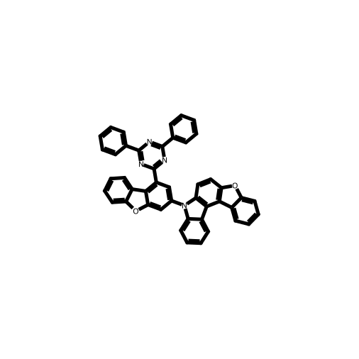 c1ccc(-c2nc(-c3ccccc3)nc(-c3cc(-n4c5ccccc5c5c6c(ccc54)oc4ccccc46)cc4oc5ccccc5c34)n2)cc1